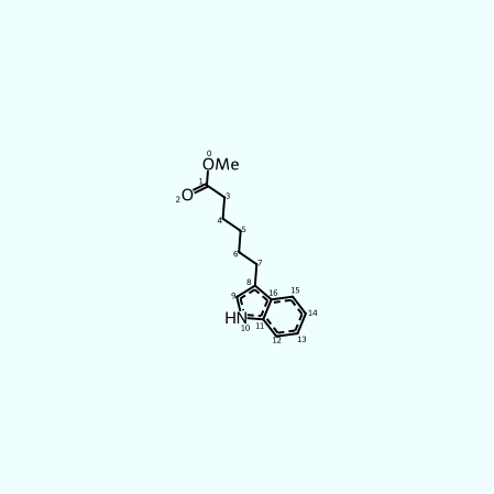 COC(=O)CCCCCc1c[nH]c2ccccc12